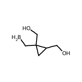 BCC1(CO)CC1CO